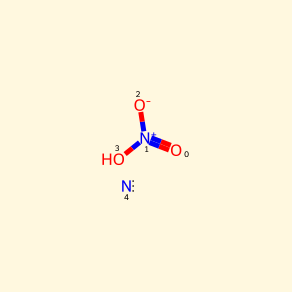 O=[N+]([O-])O.[N]